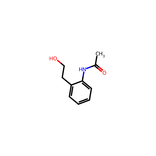 CC(=O)Nc1ccccc1CCO